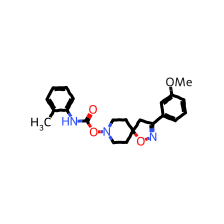 COc1cccc(C2=NOC3(CCN(OC(=O)Nc4ccccc4C)CC3)C2)c1